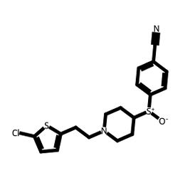 N#Cc1ccc([S+]([O-])C2CCN(CCc3ccc(Cl)s3)CC2)cc1